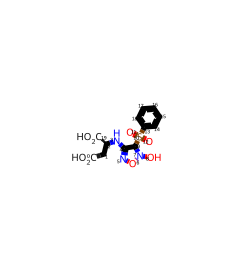 O=C(O)C[C@H](NC1=NON(O)C1S(=O)(=O)c1ccccc1)C(=O)O